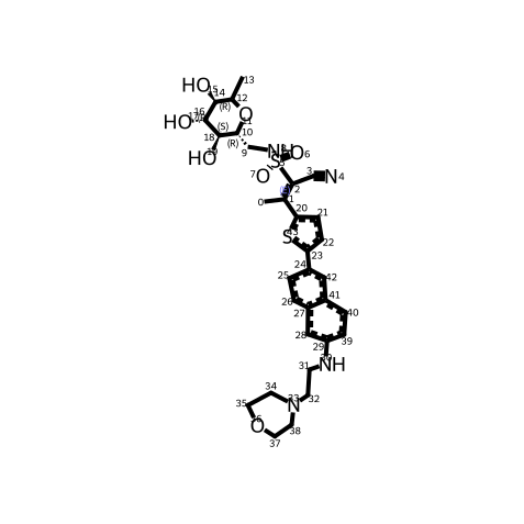 C/C(=C(/C#N)S(=O)(=O)NC[C@H]1OC(C)[C@H](O)[C@@H](O)[C@@H]1O)c1ccc(-c2ccc3cc(NCCN4CCOCC4)ccc3c2)s1